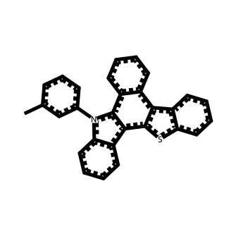 Cc1cccc(-n2c3ccccc3c3c4sc5ccccc5c4c4ccccc4c32)c1